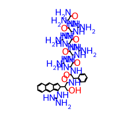 N=C(N)NC1=c2cc3ccccc3cc2=CC1C(CO)C(=O)NC(C(=O)NC(NC(=N)N)C(=O)NC(NC(=N)N)C(=O)NC(NC(=N)N)C(=O)NC(NC(=N)N)C(=O)NC(N)C(N)=O)c1ccccc1